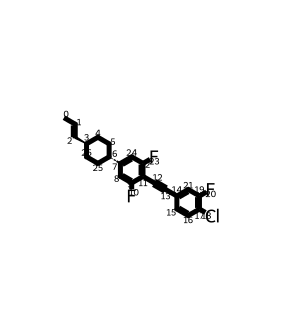 CC=C[C@H]1CC[C@H](c2cc(F)c(C#Cc3ccc(Cl)c(F)c3)c(F)c2)CC1